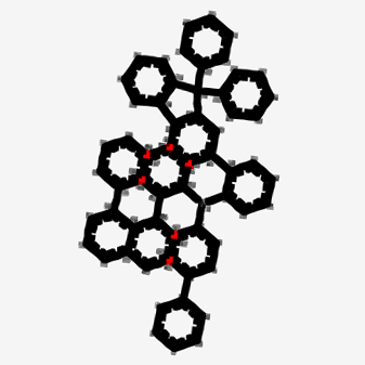 c1ccc(-c2ccc(N(c3ccccc3-c3ccc4c(c3)C(c3ccccc3)(c3ccccc3)c3ccccc3-4)c3ccccc3-c3cccc4cccc(-c5ccccc5)c34)cc2)cc1